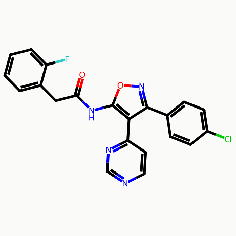 O=C(Cc1ccccc1F)Nc1onc(-c2ccc(Cl)cc2)c1-c1ccncn1